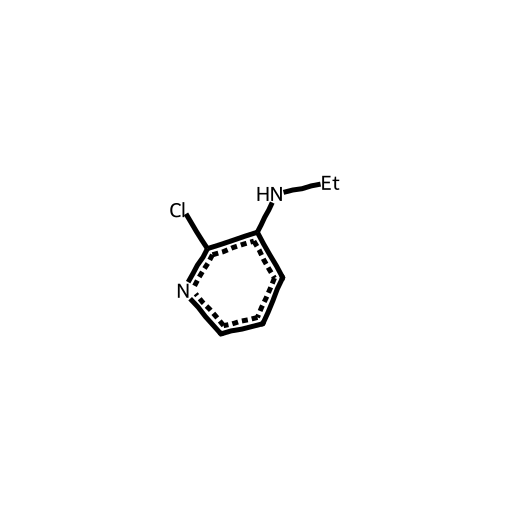 CCNc1cccnc1Cl